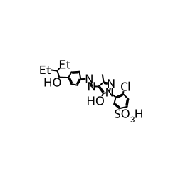 CCC(CC)C(O)c1ccc(/N=N/c2c(C)nn(-c3cc(S(=O)(=O)O)ccc3Cl)c2O)cc1